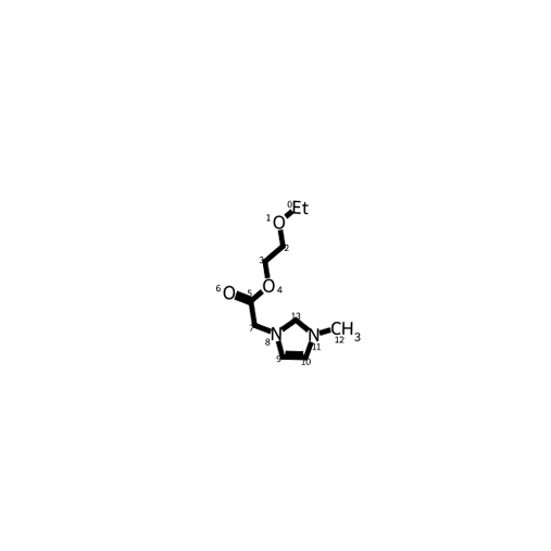 CCOCCOC(=O)CN1C=CN(C)C1